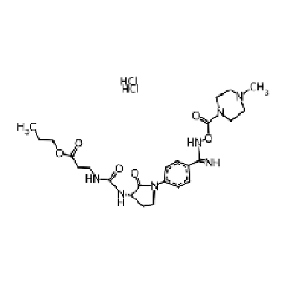 CCCOC(=O)CCNC(=O)N[C@H]1CCN(c2ccc(C(=N)NOC(=O)N3CCN(C)CC3)cc2)C1=O.Cl.Cl